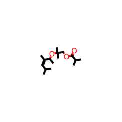 CC(=CC(C)C)C(C)OC(C)(C)COC(=O)C(C)C